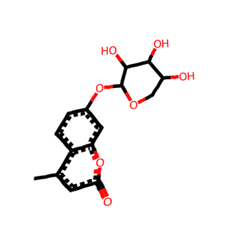 Cc1cc(=O)oc2cc(OC3OCC(O)C(O)C3O)ccc12